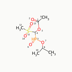 CC(=O)OC([PH](=O)OC(C)C)S(C)(=O)=O